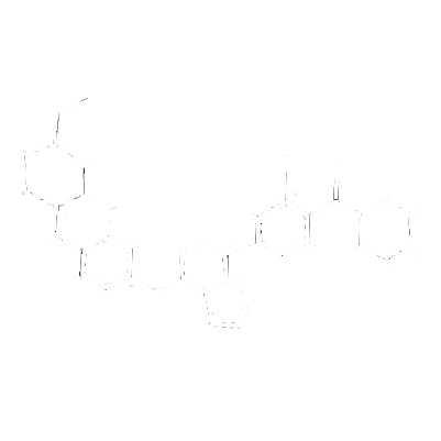 CCN1CCN(Cc2ccc(Nc3ccc(-c4ccc(C(=O)N5CCOCC5)c(F)c4)c4ocnc34)cc2C)CC1